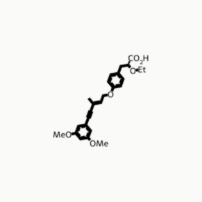 CCO[C@@H](Cc1ccc(OC/C=C(\C)C#Cc2cc(OC)cc(OC)c2)cc1)C(=O)O